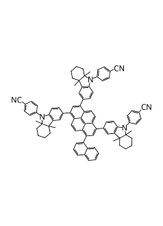 CC12CCCCC1(C)N(c1ccc(C#N)cc1)c1ccc(-c3cc(-c4ccc5c(c4)C4(C)CCCCC4(C)N5c4ccc(C#N)cc4)c4ccc5c(-c6cccc7ccccc67)cc(-c6ccc7c(c6)C6(C)CCCCC6(C)N7c6ccc(C#N)cc6)c6ccc3c4c65)cc12